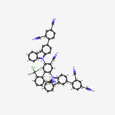 N#Cc1ccc(-c2ccc3c(c2)c2ccccc2n3-c2cc(-c3c(C#N)cccc3C(F)(F)F)c(-n3c4ccccc4c4cc(-c5ccc(C#N)cc5C#N)ccc43)cc2C#N)c(C#N)c1